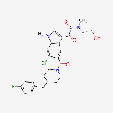 CN(CCO)C(=O)C(=O)c1cn(C)c2cc(Cl)c(C(=O)N3CCC(Cc4ccc(F)cc4)CC3)cc12